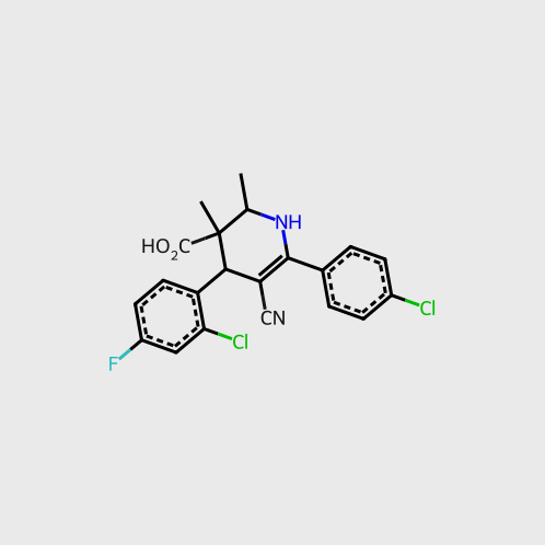 CC1NC(c2ccc(Cl)cc2)=C(C#N)C(c2ccc(F)cc2Cl)C1(C)C(=O)O